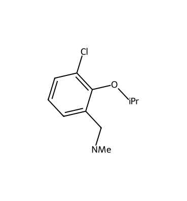 CNCc1cccc(Cl)c1OC(C)C